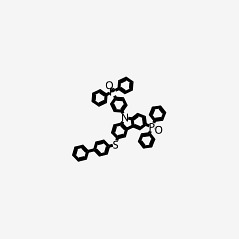 O=P(c1ccccc1)(c1ccccc1)c1ccc(-n2c3ccc(Sc4ccc(-c5ccccc5)cc4)cc3c3cc(P(=O)(c4ccccc4)c4ccccc4)ccc32)cc1